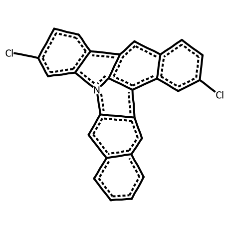 Clc1ccc2cc3c4ccc(Cl)cc4n4c5cc6ccccc6cc5c(c2c1)c34